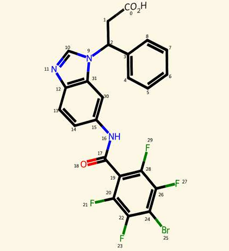 O=C(O)CC(c1ccccc1)n1cnc2ccc(NC(=O)c3c(F)c(F)c(Br)c(F)c3F)cc21